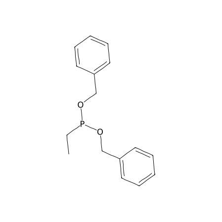 CCP(OCc1ccccc1)OCc1ccccc1